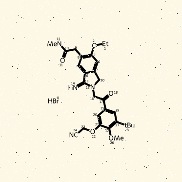 Br.CCOc1cc2c(cc1CC(=O)NC)C(=N)N(CC(=O)c1cc(OCC#N)c(OC)c(C(C)(C)C)c1)C2